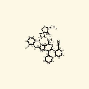 CN1CCC2(CN(Cc3cccc(F)c3Cc3nc4c(N)nc(-c5ccccc5C#N)c(-c5ccncn5)n4n3)C2)C1=O